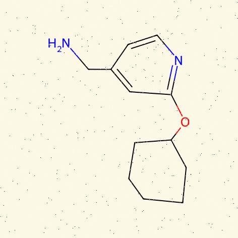 NCc1ccnc(OC2CCCCC2)c1